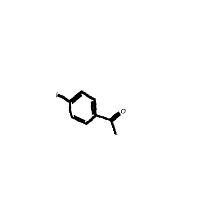 [CH2]C(=O)c1ccc(I)cc1